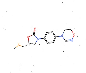 CPC[C@H]1CN(c2ccc(N3C=NOCC3)cc2)C(=O)O1